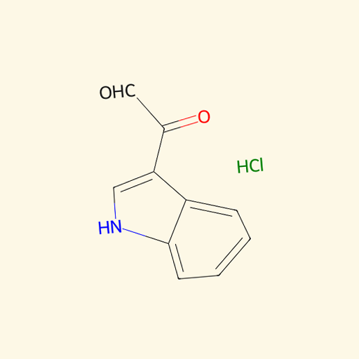 Cl.O=CC(=O)c1c[nH]c2ccccc12